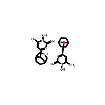 N=c1nc(C2CC3CCC2CNC3)cc(N)n1O.N=c1nc(N2CC3CCC(CC3)C2)cc(N)n1O